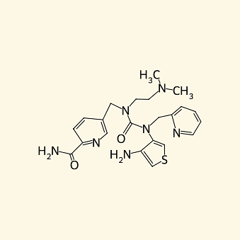 CN(C)CCN(Cc1ccc(C(N)=O)nc1)C(=O)N(Cc1ccccn1)c1cscc1N